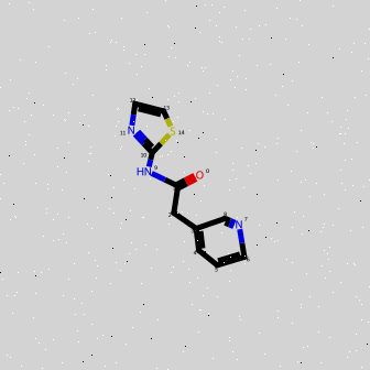 O=C(Cc1cccnc1)Nc1nccs1